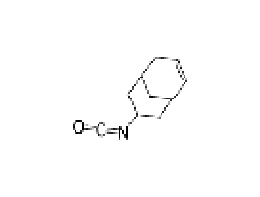 O=C=NC1CC2C=CCC(C2)C1